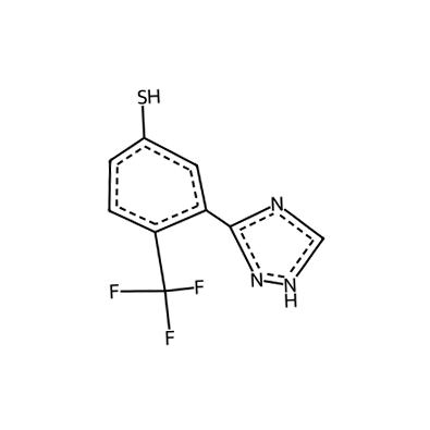 FC(F)(F)c1ccc(S)cc1-c1nc[nH]n1